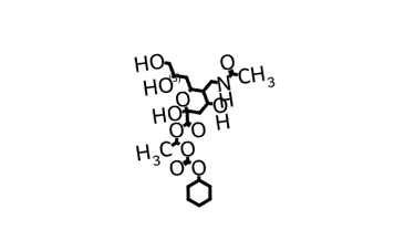 CC(=O)NCC1C(O)CC(O)(C(=O)OC(C)OC(=O)OC2CCCCC2)OC1C[C@H](O)CO